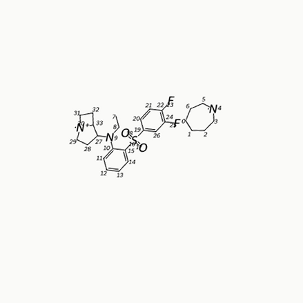 C1CCC[N]CC1.CCN(c1ccccc1S(=O)(=O)c1ccc(F)c(F)c1)C1CC[N+]2CCC12